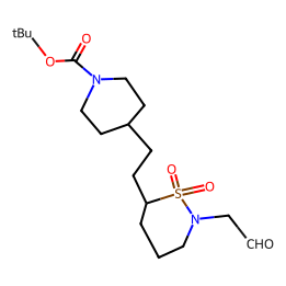 CC(C)(C)OC(=O)N1CCC(CCC2CCCN(CC=O)S2(=O)=O)CC1